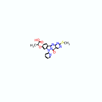 CSc1ncc2c(=O)n3c(nc2n1)c1ccc(OC(C)C(=O)O)cc1n3-c1ccccn1